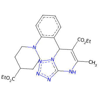 CCOC(=O)C1=C(C)Nc2nnnn2C1c1ccccc1N1CCC(C(=O)OCC)CC1